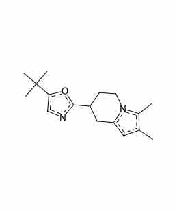 Cc1cc2n(c1C)CCC(c1ncc(C(C)(C)C)o1)C2